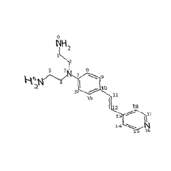 NCCN(CCN)c1ccc(C=Cc2ccncc2)cc1